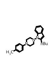 CCCCc1cc2ccccc2n1N1CCN(c2ccc(C)cc2)CC1